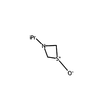 CC(C)N1C[S+]([O-])C1